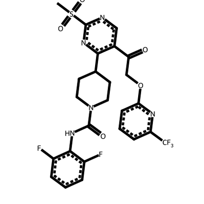 CS(=O)(=O)c1ncc(C(=O)COc2cccc(C(F)(F)F)n2)c(C2CCN(C(=O)Nc3c(F)cccc3F)CC2)n1